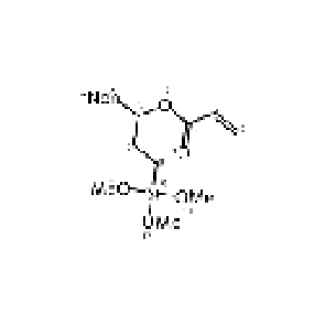 C=CC(=O)OC(CCCCCCCCC)CC[Si](OC)(OC)OC